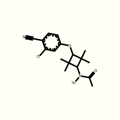 [2H]N(C(C)=O)C1C(C)(C)C(Oc2ccc(C#N)c(Cl)c2)C1(C)C